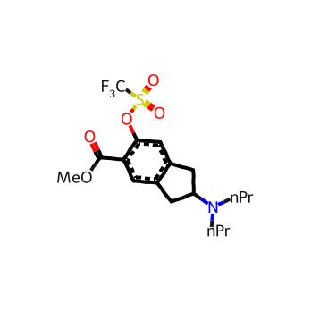 CCCN(CCC)C1Cc2cc(OS(=O)(=O)C(F)(F)F)c(C(=O)OC)cc2C1